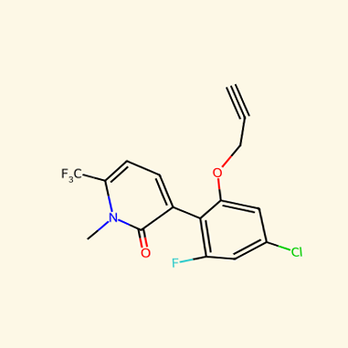 C#CCOc1cc(Cl)cc(F)c1-c1ccc(C(F)(F)F)n(C)c1=O